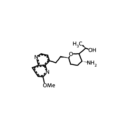 COc1ccc2nccc(CC[C@@H]3CC[C@@H](N)C([C@@H](C)O)O3)c2n1